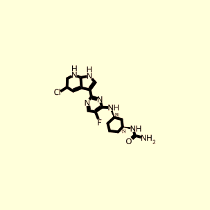 NC(=O)N[C@H]1CCC[C@@H](Nc2nc(C3=CNC4NCC(Cl)C=C34)ncc2F)C1